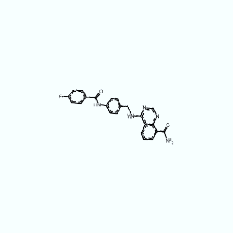 NC(=O)c1cccc2c(NCc3ccc(NC(=O)c4ccc(F)cc4)cc3)ncnc12